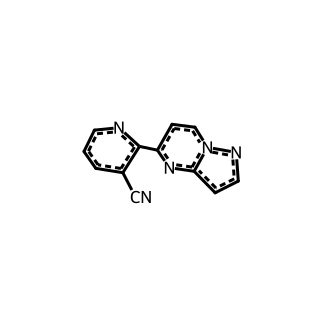 N#Cc1cccnc1-c1ccn2nccc2n1